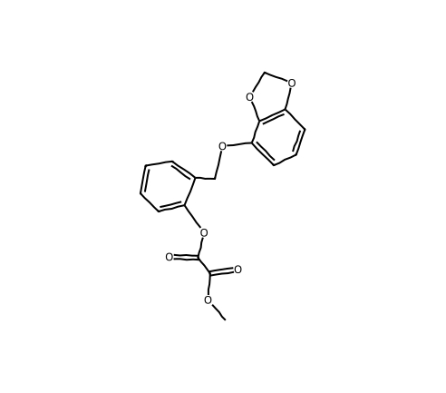 COC(=O)C(=O)Oc1ccccc1COc1cccc2c1OCO2